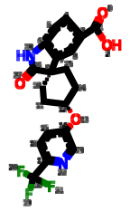 O=C(O)c1ccc2c(c1)[C@]1(CC[C@@H](Oc3ccc(C(F)(F)F)nc3)CC1)C(=O)N2